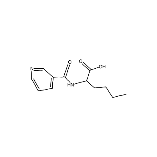 CCCCC(NC(=O)c1cccnc1)C(=O)O